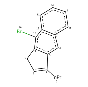 CCCC1=CCc2c1cc1ccccc1c2Br